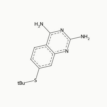 CC(C)(C)Sc1ccc2c(N)nc(N)nc2c1